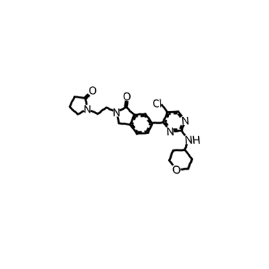 O=C1CCCN1CCN1Cc2ccc(-c3nc(NC4CCOCC4)ncc3Cl)cc2C1=O